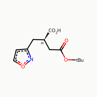 CC(C)(C)OC(=O)C[C@@H](Cc1ccon1)C(=O)O